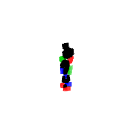 C#Cc1ccc(Oc2ccnc(N3CCC(NC(=O)O)CC3)c2Cl)c(Cl)c1